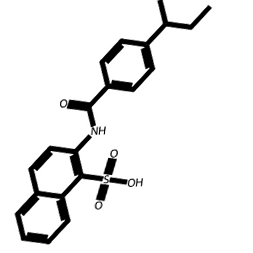 CCC(C)c1ccc(C(=O)Nc2ccc3ccccc3c2S(=O)(=O)O)cc1